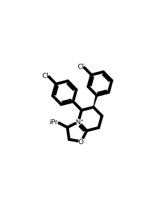 CC(C)C1COC2=[N+]1C(c1ccc(Cl)cc1)[C@@H](c1cccc(Cl)c1)CC2